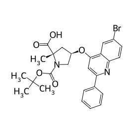 CC(C)(C)OC(=O)N1C[C@H](Oc2cc(-c3ccccc3)nc3ccc(Br)cc23)C[C@@]1(C)C(=O)O